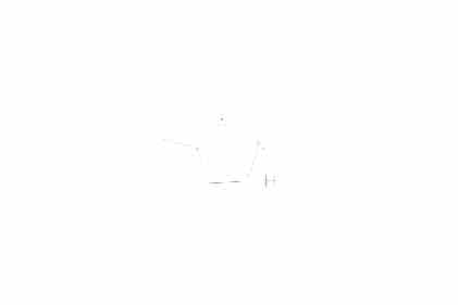 CC1=C[AsH]C(C)=[As]1